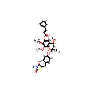 COc1c(OC(=O)/C=C/c2ccccc2)c(C)c2c(c1OC)OC(C)(COc1ccc(CC3SC(=O)NC3=O)cc1)CC2=O